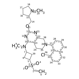 C=CS(=O)(=O)C1CC(N(C)c2nc(OCC3CCCN3C)nc3c2CCN(c2cccc4cccc(Cl)c24)C3)C1